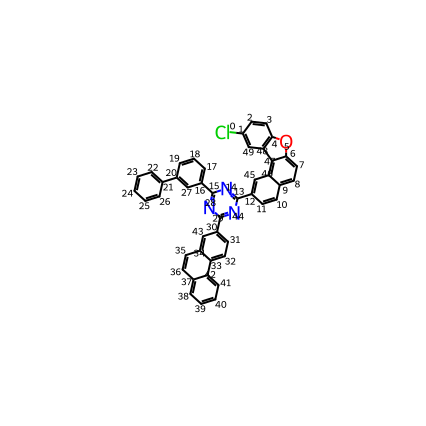 Clc1ccc2oc3ccc4ccc(-c5nc(-c6cccc(-c7ccccc7)c6)nc(-c6ccc7c(ccc8ccccc87)c6)n5)cc4c3c2c1